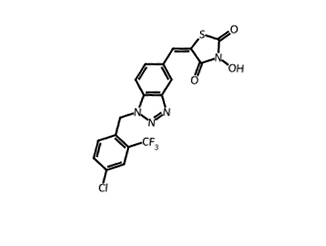 O=C1SC(=Cc2ccc3c(c2)nnn3Cc2ccc(Cl)cc2C(F)(F)F)C(=O)N1O